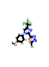 CSc1ccc(-n2cc(C(F)(F)F)nc2-c2nnc(C)s2)cc1